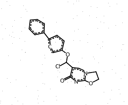 O=c1nc2n(cc1C(Cl)Oc1ccc(-c3ccccc3)cc1)CCO2